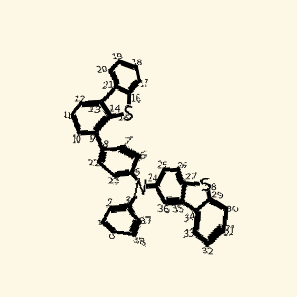 c1ccc(N(c2ccc(-c3cccc4c3sc3ccccc34)cc2)c2ccc3sc4ccccc4c3c2)cc1